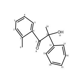 Cc1ccccc1C(=O)C(C)(O)c1ccccc1